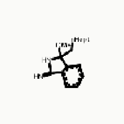 CCCCCCCCC1(OC)NC(=N)c2ccccc21